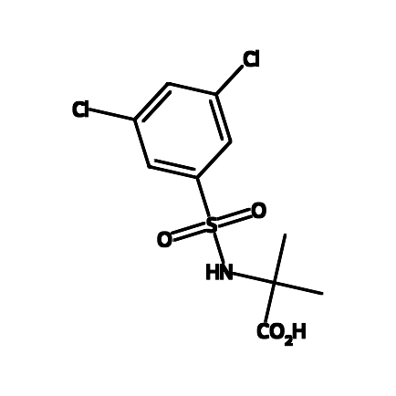 CC(C)(NS(=O)(=O)c1cc(Cl)cc(Cl)c1)C(=O)O